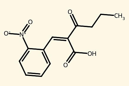 CCCC(=O)C(=Cc1ccccc1[N+](=O)[O-])C(=O)O